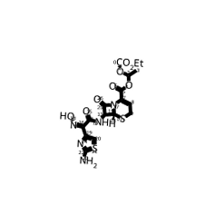 CCOC(=O)OC(C)OC(=O)C1=CCS[C@@H]2C(NC(=O)/C(=N\O)c3csc(N)n3)C(=O)N12